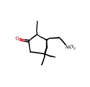 CC1C(=O)CC(C)(C)C1C[N+](=O)[O-]